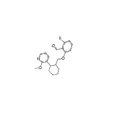 COc1ncccc1C1CCCCC1COc1cccc(F)c1C=O